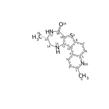 Cc1ccc2c(ccc3sc4c(c32)NC[C@H](C)NC4=O)n1